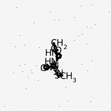 C=CCOC(=O)Nc1cccc(CNc2cc(N3CCOCC3)cc(CSc3nc(C)cs3)n2)c1